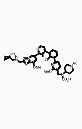 COc1nc(-c2cccc(-c3ccnc(-c4cc(OC)c5nc(CNCC6(O)CC6)nn5c4)c3Cl)c2Cl)ccc1CN(C(=O)O)C1CCN(C(C)=O)CC1